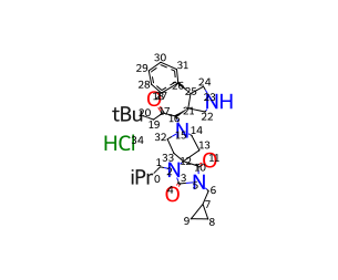 CC(C)CN1C(=O)N(CC2CC2)C(=O)C12CCN(C(C(=O)CC(C)(C)C)[C@@H]1CNC[C@@H]1c1ccccc1)CC2.Cl